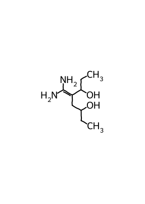 CCC(O)CC(=C(N)N)C(O)CC